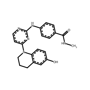 CNC(=O)c1ccc(Nc2nccc(N3CCCc4cc(O)ccc43)n2)cc1